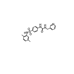 Cc1ccc(C)c(NS(=O)(=O)c2ccc(NC(=O)NCc3cccnc3)cc2)c1